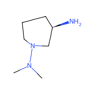 CN(C)N1CCC[C@@H](N)C1